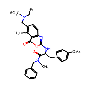 COc1ccc(C[C@H](Nc2nc3ccc(CN(CC(C)C)C(=O)O)c(C)c3c(=O)o2)C(=O)N(C)Cc2ccccc2)cc1